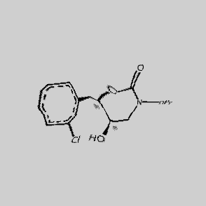 CCCN1C[C@@H](O)[C@@H](c2ccccc2Cl)OC1=O